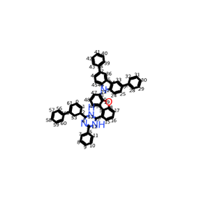 C1=CC(C2N=C(c3ccccc3)NC(c3cccc4oc5c(-n6c7ccc(-c8ccccc8)cc7c7cc(-c8ccccc8)ccc76)cccc5c34)N2)CC(c2ccccc2)=C1